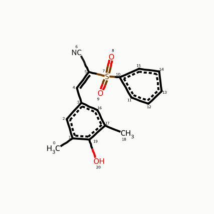 Cc1cc(C=C(C#N)S(=O)(=O)c2ccccc2)cc(C)c1O